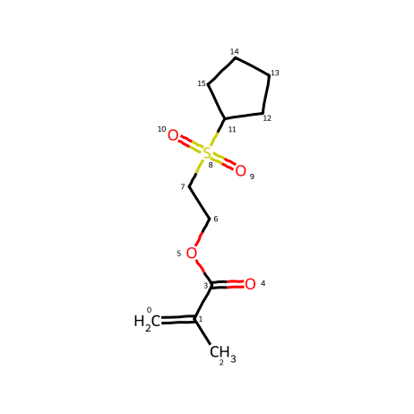 C=C(C)C(=O)OCCS(=O)(=O)C1CCCC1